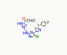 CC(c1ccc(F)cc1)c1ncc(-c2nc(NCCN3CNC(C(=O)C=O)C3(C)C)ncc2Br)s1